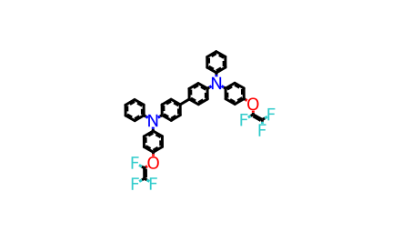 FC(F)=C(F)Oc1ccc(N(c2ccccc2)c2ccc(-c3ccc(N(c4ccccc4)c4ccc(OC(F)=C(F)F)cc4)cc3)cc2)cc1